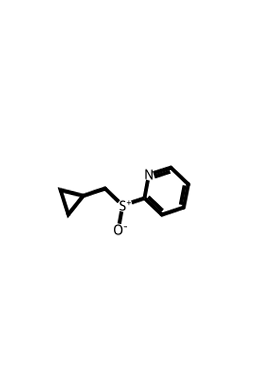 [O-][S+](CC1CC1)c1ccccn1